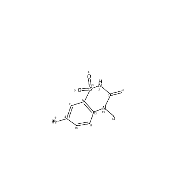 C=C1NS(=O)(=O)c2cc(C(C)C)ccc2N1C